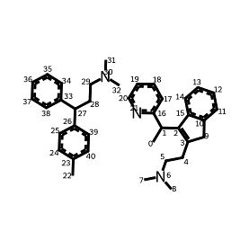 CC(C1=C(CCN(C)C)Cc2ccccc21)c1ccccn1.Cc1ccc(C(CCN(C)C)c2ccccc2)cc1